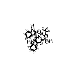 CC(C)(C)OC(=O)N1[C@@H](c2c[nH]c3ccccc23)c2[nH]c3ccccc3c2C[C@@H]1C(=O)O